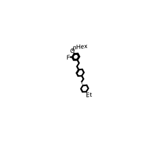 CCCCCCOc1ccc(CCC2=CCC(CC[C@H]3CC[C@H](CC)CC3)CC2)cc1F